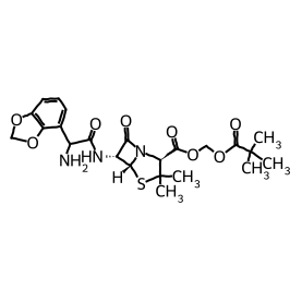 CC(C)(C)C(=O)OCOC(=O)[C@@H]1N2C(=O)[C@@H](NC(=O)C(N)c3cccc4c3OCO4)[C@H]2SC1(C)C